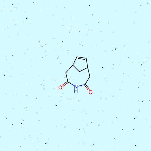 O=C1CC2C=CC(CC(=O)N1)C2